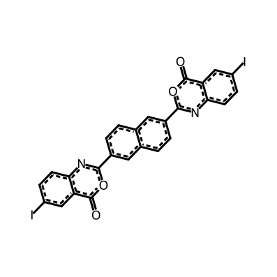 O=c1oc(-c2ccc3cc(-c4nc5ccc(I)cc5c(=O)o4)ccc3c2)nc2ccc(I)cc12